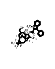 CC1=CC23C(=O)[C@@H](C=C(CO)[C@@H](O)[C@]2(O)[C@H]1OC(=O)c1c(-c2ccccc2)c2ccccc2n1C)[C@H]1[C@@H](CC3C)C1(C)C